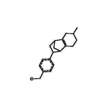 CC1CCC2=C(C1)C1CC2C(c2ccc(CCl)cc2)C1